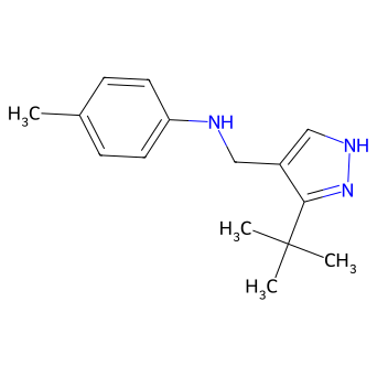 Cc1ccc(NCc2c[nH]nc2C(C)(C)C)cc1